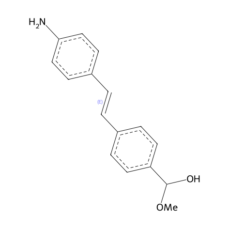 COC(O)c1ccc(/C=C/c2ccc(N)cc2)cc1